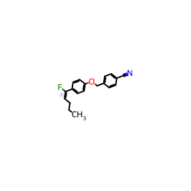 CCC/C=C(/F)c1ccc(OCc2ccc(C#N)cc2)cc1